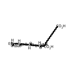 CCN[C@@H](CCCCNC(=O)COCCOCCNC(=O)COCCOCCNC(=O)CC[C@H](NC(=O)CCCCCCCCCCCCCCCCCCC(=O)O)C(=O)O)C(=O)C(C)(C)C